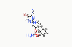 N#Cc1nc(N2CCC3(CC2)Cc2ccccc2[C@H]3OC(N)=O)ncc1Br